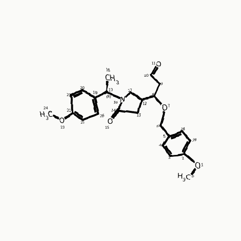 COc1ccc(COC(CC=O)C2CC(=O)N([C@H](C)c3ccc(OC)cc3)C2)cc1